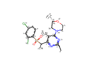 Cc1nc(C(C#N)S(=O)(=O)c2ccc(Cl)cc2F)c([N+](=O)[O-])c(N2CCO[C@@H](C(F)(F)F)C2)n1